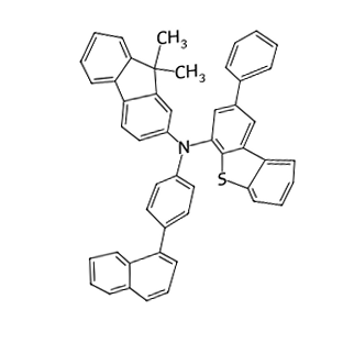 CC1(C)c2ccccc2-c2ccc(N(c3ccc(-c4cccc5ccccc45)cc3)c3cc(-c4ccccc4)cc4c3sc3ccccc34)cc21